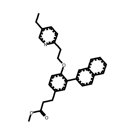 CCc1ccc(CCOc2ccc(CCC(=O)OC)cc2-c2ccc3ccccc3c2)nc1